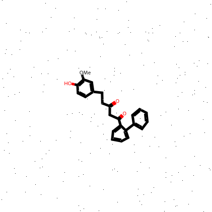 COc1cc(CCC(=O)CC(=O)c2ccccc2-c2ccccc2)ccc1O